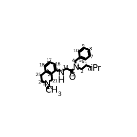 CC(C)CCN(Cc1ccccc1)C(=O)CNc1cccc2c1CN(C)CC2